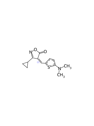 CN(C)c1ccc(/C=C2\C(=O)ON=C2C2CC2)s1